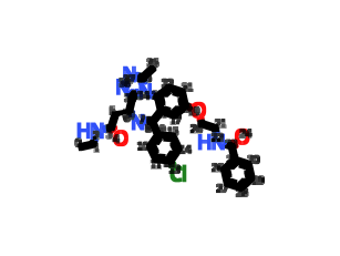 CCNC(=O)C[C@@H]1N=C(c2ccc(Cl)cc2)c2cc(OCCNC(=O)c3ccccc3)ccc2-n2c(C)nnc21